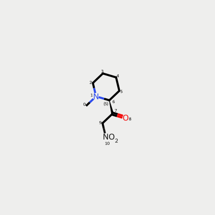 CN1CCCC[C@H]1C(=O)C[N+](=O)[O-]